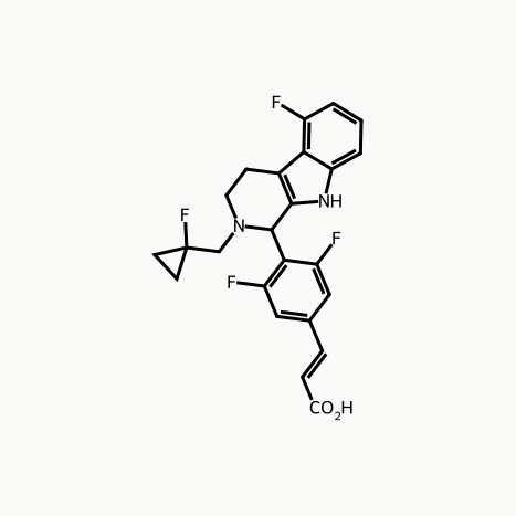 O=C(O)/C=C/c1cc(F)c(C2c3[nH]c4cccc(F)c4c3CCN2CC2(F)CC2)c(F)c1